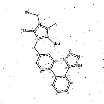 CCCCc1c(C)n(CC(C)C)c(=O)n1Cc1ccc(-c2ccccc2-c2nnn[nH]2)nc1